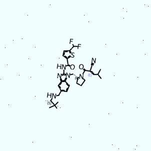 CC(C)/C=C(\C#N)C(=O)N1CCC[C@@H]1Cn1c(NC(=O)c2ccc(C(F)F)s2)nc2cc(CN[C@@H](C)C(C)(C)C)ccc21